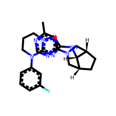 Cc1cc(N2C[C@H]3CC[C@@H](C2)[C@H]3Nc2nc3n(n2)CCCN3c2cccc(F)c2)ncn1